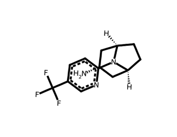 N[C@@H]1C[C@H]2CC[C@@H](C1)N2c1ccc(C(F)(F)F)cn1